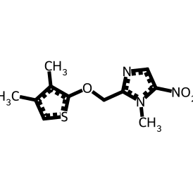 Cc1csc(OCc2ncc([N+](=O)[O-])n2C)c1C